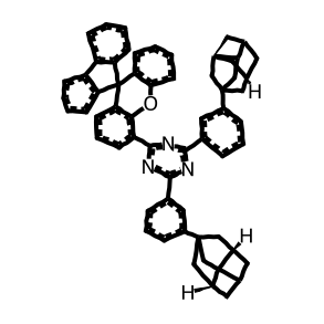 c1cc(-c2nc(-c3cccc(C45CC6C7C[C@@H](C4)C[C@]6(C7)C5)c3)nc(-c3cccc4c3Oc3ccccc3C43c4ccccc4-c4ccccc43)n2)cc(C23C[C@H]4CC5C[C@@H](C2)C54C3)c1